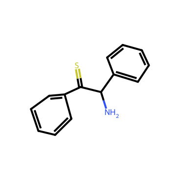 NC(C(=S)c1ccccc1)c1ccccc1